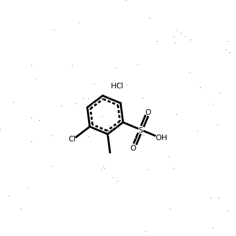 Cc1c(Cl)cccc1S(=O)(=O)O.Cl